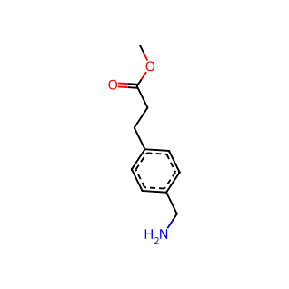 COC(=O)CCc1ccc(CN)cc1